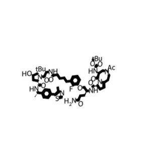 CC(=O)N1CCC2=CC[C@@H](C(=O)N[C@@H](CCC(N)=O)COc3cccc(CCCCC(=O)N[C@H](C(=O)N4C[C@H](O)C[C@H]4C(=O)N[C@@H](C)c4ccc(-c5scnc5C)cc4)C(C)(C)C)c3F)N2C(=O)[C@@H](NC(=O)OC(C)(C)C)C1